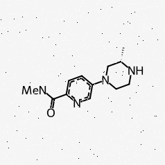 CNC(=O)c1ccc(N2CCN[C@@H](C)C2)cn1